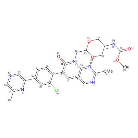 CSc1ncc2cc(-c3ccc(-c4cncc(C)n4)cc3Cl)c(=O)n(CC3OCC(NC(=O)OC(C)(C)C)CO3)c2n1